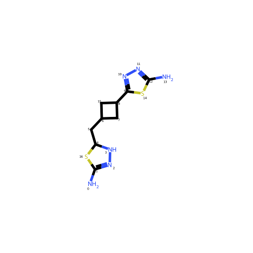 NC1=NNC(CC2CC(c3nnc(N)s3)C2)S1